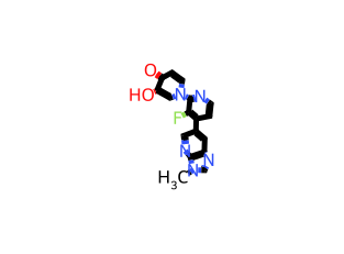 Cn1cnc2cc(-c3ccnc(-n4ccc(=O)c(O)c4)c3F)cnc21